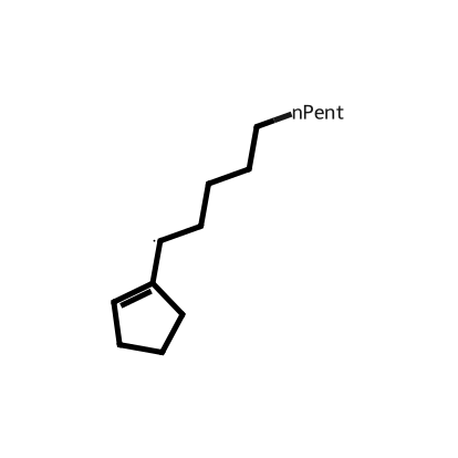 CCCCCCCCC[CH]C1=CCCC1